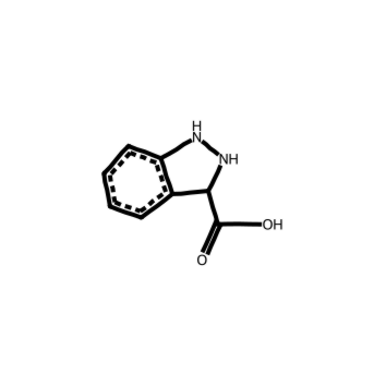 O=C(O)C1NNc2ccccc21